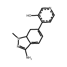 CN1N=C(N)C2=CC=C(c3ccncc3O)CC21